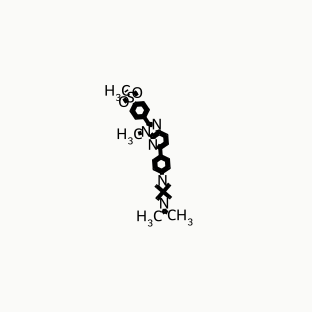 CC(C)N1CC2(CN(c3ccc(-c4ccc5nc(-c6ccc(S(C)(=O)=O)cc6)n(C)c5n4)cc3)C2)C1